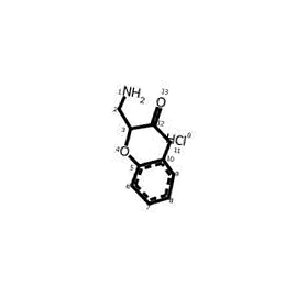 Cl.NCC1Oc2ccccc2CC1=O